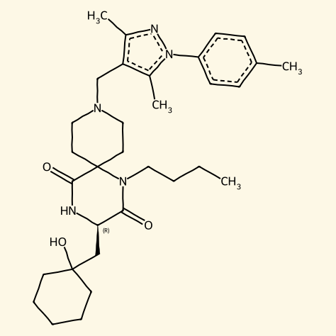 CCCCN1C(=O)[C@@H](CC2(O)CCCCC2)NC(=O)C12CCN(Cc1c(C)nn(-c3ccc(C)cc3)c1C)CC2